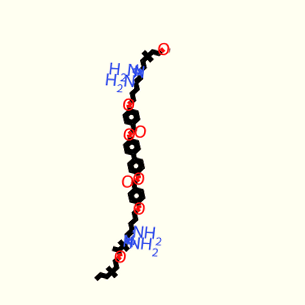 CCCC(C)(C)CCOC(C)C(C)(C)N(N)/C=C(\N)CCCOc1ccc(C(=O)Oc2ccc(-c3ccc(OC(=O)c4ccc(OCCC/C(N)=C/N(N)CCC(C)(C)CCOC)cc4)cc3)cc2)cc1